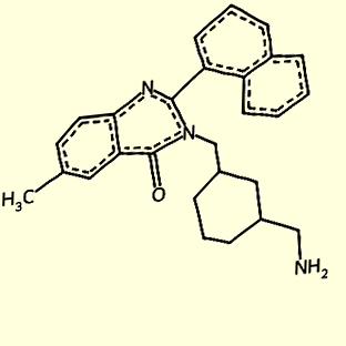 Cc1ccc2nc(-c3cccc4ccccc34)n(CC3CCCC(CN)C3)c(=O)c2c1